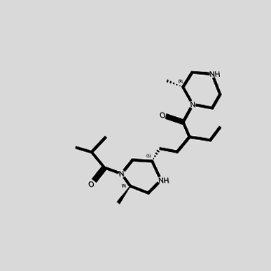 CCC(CC[C@H]1CN(C(=O)C(C)C)[C@H](C)CN1)C(=O)N1CCNC[C@H]1C